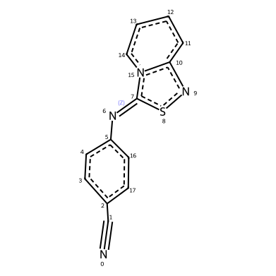 N#Cc1ccc(/N=c2\snc3ccccn23)cc1